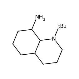 CC(C)(C)N1CCCC2CCCC(N)C21